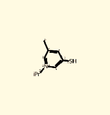 Cc1cc(S)c[n+](C(C)C)c1